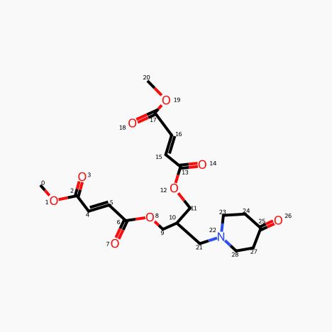 COC(=O)/C=C/C(=O)OCC(COC(=O)/C=C/C(=O)OC)CN1CCC(=O)CC1